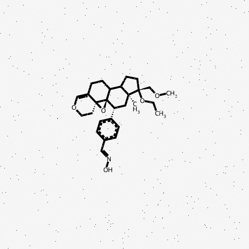 CCO[C@@]1(COC)CCC2C3CCC4=COCC[C@]45O[C@]35[C@@H](c3ccc(/C=N/O)cc3)C[C@@]21C